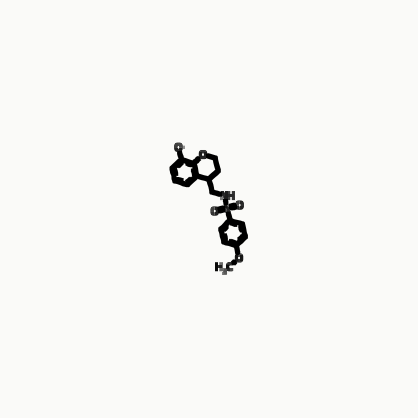 COc1ccc(S(=O)(=O)NCC2CCOc3c([O])cccc32)cc1